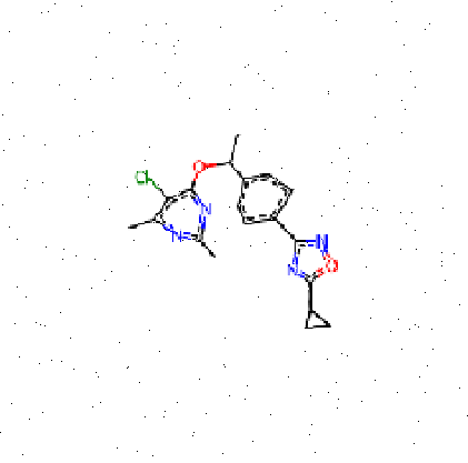 Cc1nc(C)c(Cl)c(OC(C)c2ccc(-c3noc(C4CC4)n3)cc2)n1